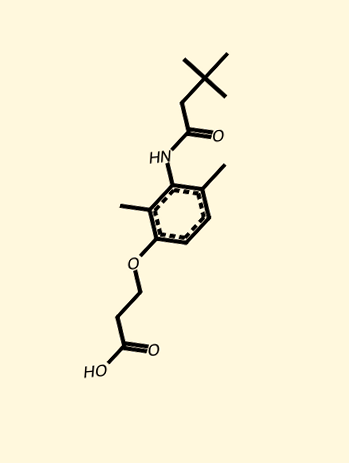 Cc1ccc(OCCC(=O)O)c(C)c1NC(=O)CC(C)(C)C